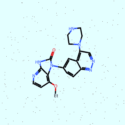 CCOc1ccnc2[nH]c(=O)n(-c3ccc4nncc(N5CCNCC5)c4c3)c12